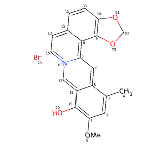 COc1cc(C)c2cc3c4c5c(ccc4cc[n+]3cc2c1O)OCO5.[Br-]